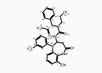 N#Cc1cccc2c1NC(=O)CC(NC(=O)[C@H](CCC(F)(F)F)[C@H](C(N)=O)c1ccccc1)N2c1cccc(C(F)(F)F)c1